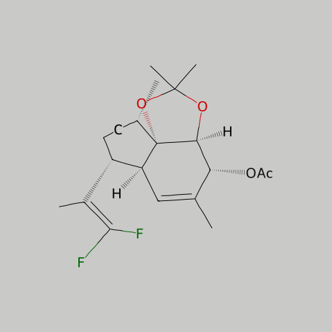 CC(=O)O[C@@H]1C(C)=C[C@H]2[C@H](C(C)=C(F)F)CC[C@H](C)[C@]23OC(C)(C)O[C@@H]13